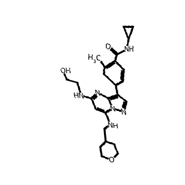 CC1=C(C(=O)NC2CC2)C=CC(c2cnn3c(NCC4CCOCC4)cc(NCCO)nc23)C1